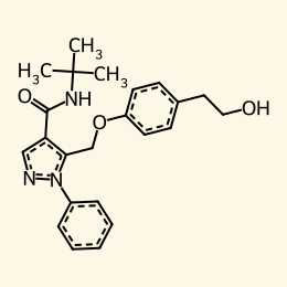 CC(C)(C)NC(=O)c1cnn(-c2ccccc2)c1COc1ccc(CCO)cc1